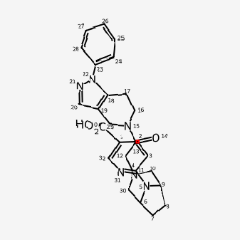 O=C(O)c1ccc(N2C3CCC2CN(CC(=O)N2CCc4c(cnn4-c4ccccc4)C2)C3)nc1